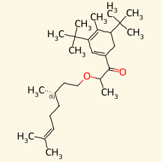 CC(C)=CCC[C@H](C)CCOC(C)C(=O)C1=CC(C(C)(C)C)=C(C)C(C(C)(C)C)C1